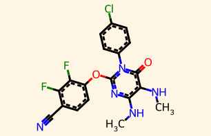 CNc1nc(Oc2ccc(C#N)c(F)c2F)n(-c2ccc(Cl)cc2)c(=O)c1NC